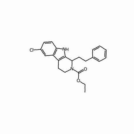 CCOC(=O)N1CCc2c([nH]c3ccc(Cl)cc23)C1CCc1ccccc1